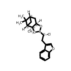 CC1(C)[C@@H]2C[C@H]3OB([C@H](Cl)Cc4coc5ccccc45)O[C@@]3(C)[C@H]1C2